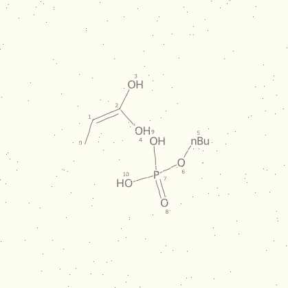 CC=C(O)O.CCCCOP(=O)(O)O